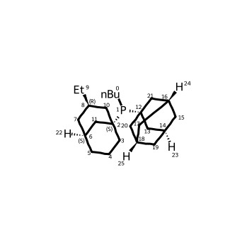 CCCCP([C@@]12CCC[C@@H](C[C@@H](CC)C1)C2)[C@]12C[C@H]3C[C@H](C[C@H](C3)C1)C2